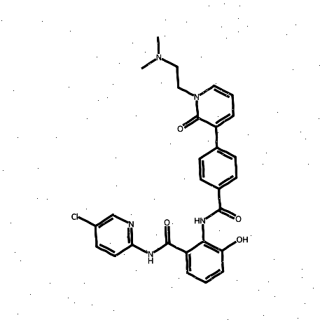 CN(C)CCn1cccc(-c2ccc(C(=O)Nc3c(O)cccc3C(=O)Nc3ccc(Cl)cn3)cc2)c1=O